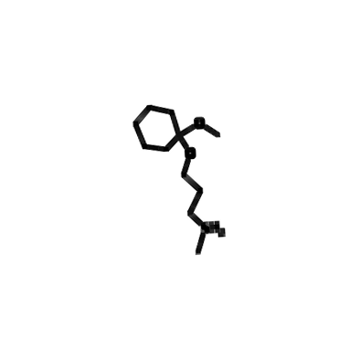 COC1(OCCC[SiH2]C)CCCCC1